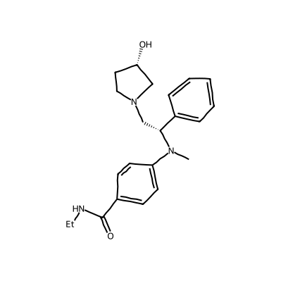 CCNC(=O)c1ccc(N(C)[C@H](CN2CC[C@H](O)C2)c2ccccc2)cc1